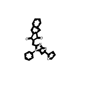 O=C1C(=Cc2nc3sc(-c4ccco4)cc3n2-c2ccccc2)C(=O)c2cc3ccccc3cc21